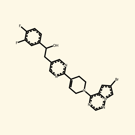 OC(Cc1cnc(C2=CCN(c3ncnn4cc(Br)cc34)CC2)nc1)c1ccc(F)c(F)c1